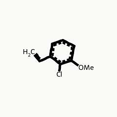 C=Cc1cccc(OC)c1Cl